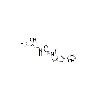 CCN(CC)CCNC(=O)/C=C/n1cnc2ccc(C(C)C)cc2c1=O